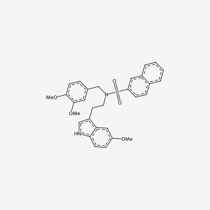 COc1ccc2[nH]cc(CCN(Cc3ccc(OC)c(OC)c3)S(=O)(=O)c3ccc4ccccc4c3)c2c1